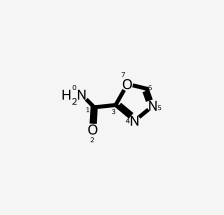 NC(=O)c1nn[c]o1